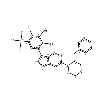 Oc1c(-c2n[nH]c3cc(N4CCOC[C@H]4Cc4ccccc4)ncc23)cc(C(F)(F)F)c(F)c1O